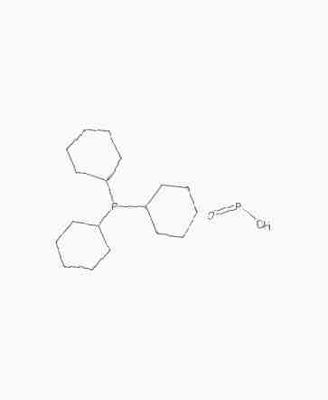 C1CCC(P(C2CCCCC2)C2CCCCC2)CC1.O=PO